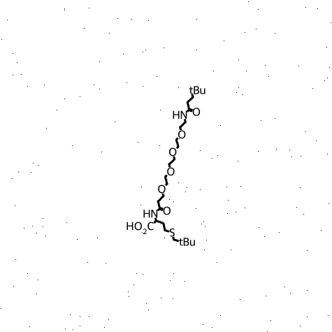 CC(C)(C)CCC(=O)NCCOCCOCCOCCOCCC(=O)NC(CCSCC(C)(C)C)C(=O)O